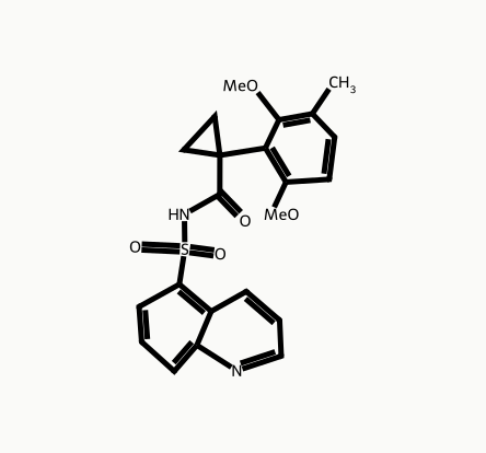 COc1ccc(C)c(OC)c1C1(C(=O)NS(=O)(=O)c2cccc3ncccc23)CC1